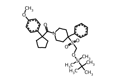 COc1ccc(C2(C(=O)N3CCC(c4ccccc4)(S(=O)(=O)CO[Si](C)(C)C(C)(C)C)CC3)CCCC2)cc1